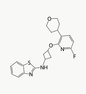 Fc1ccc(C2CCOCC2)c(OC2CC(Nc3nc4ccccc4s3)C2)n1